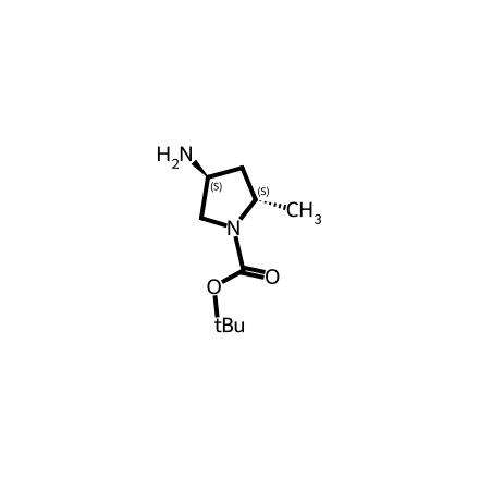 C[C@H]1C[C@H](N)CN1C(=O)OC(C)(C)C